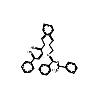 N=C(/C=C\C(=N)c1ccccc1)C/C=c1/cccc/c1=C/CC/N=C(\N=C(/N)c1ccccc1)c1ccccc1